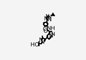 Cc1nn(CC(C)(C)O)cc1-c1ccn2ncc(C(=O)Nc3cc(-c4nnn(C5CC5)n4)ccc3Cl)c2c1